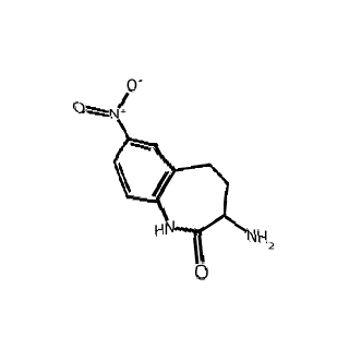 NC1CCc2cc([N+](=O)[O-])ccc2NC1=O